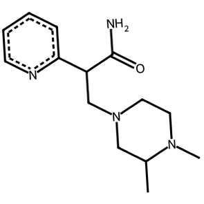 CC1CN(CC(C(N)=O)c2ccccn2)CCN1C